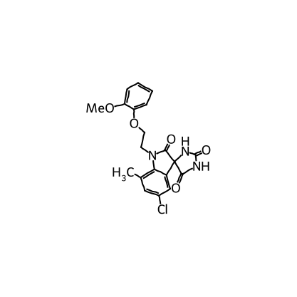 COc1ccccc1OCCN1C(=O)C2(NC(=O)NC2=O)c2cc(Cl)cc(C)c21